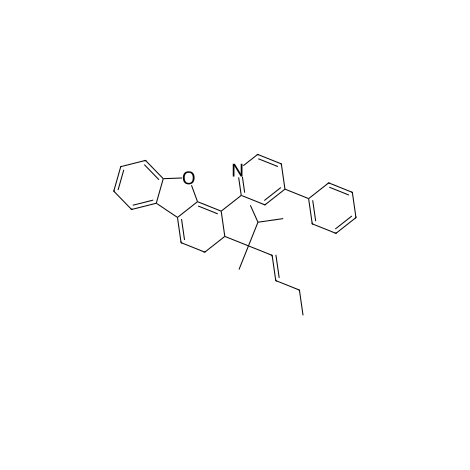 CCC=CC(C)(C(C)C)C1CC=c2c(oc3ccccc23)=C1c1cc(-c2ccccc2)ccn1